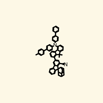 Cc1ccc(-c2ccc(N(c3ccc(-c4ccccc4)cc3)c3cccc4c3-c3cccc(-c5cc(C#N)c6c(c5)-c5ccccc5C65C6CC7CC(C6)CC5C7)c3C4(C)C)cc2)cc1